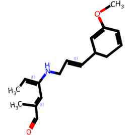 C/C=C(\C=C(/C)C=O)NC/C=C/C1C=C(OC)C=CC1